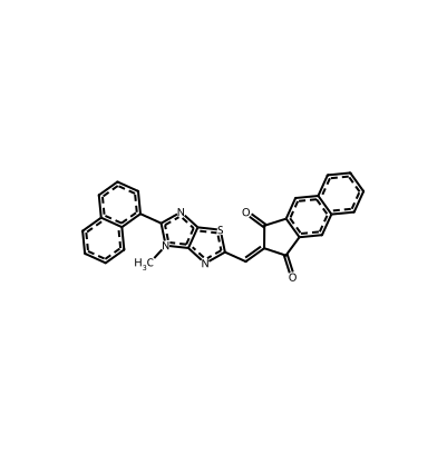 Cn1c(-c2cccc3ccccc23)nc2sc(C=C3C(=O)c4cc5ccccc5cc4C3=O)nc21